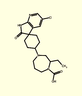 CCC1CN(C2CCC3(CC2)C(=O)Nc2ncc(Cl)cc23)CCCN1C(=O)O